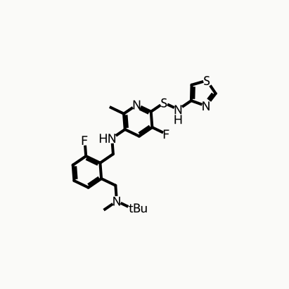 Cc1nc(SNc2cscn2)c(F)cc1NCc1c(F)cccc1CN(C)C(C)(C)C